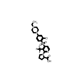 CCN1CCN(c2ccc(S(=O)(=O)c3ccnc(N4CCCC4C(=O)O)c3C(F)(F)F)c(Cl)c2)CC1